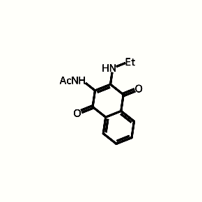 CCNC1=C(NC(C)=O)C(=O)c2ccccc2C1=O